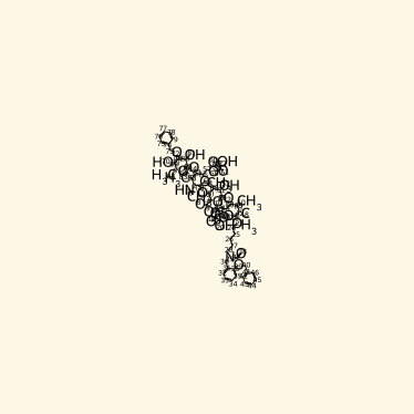 CNC1[C@@H](O[C@@H]2C(C(=O)O)O[C@@H](O[C@@H]3C(COS(=O)(=O)O)O[C@H](OCCCCCN(Cc4ccccc4)C(=O)OCc4ccccc4)C(C)[C@H]3C)C(O)[C@H]2C)OC(COS(=O)(=O)O)[C@@H](O[C@@H]2OC(C)[C@@H](O)[C@@H](OCc3ccccc3)C2O)[C@@H]1C